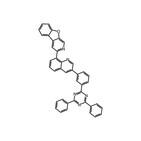 c1ccc(-c2nc(-c3ccccc3)nc(-c3cccc(-c4cnc5c(-c6cc7c(cn6)oc6ccccc67)cccc5c4)c3)n2)cc1